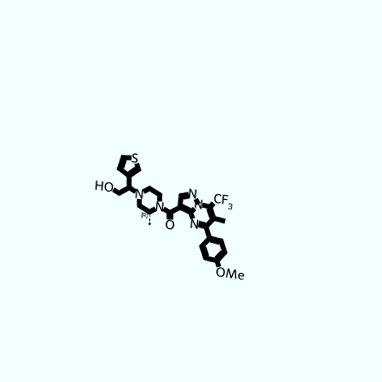 COc1ccc(-c2nc3c(C(=O)N4CCN(C(CO)c5ccsc5)C[C@H]4C)cnn3c(C(F)(F)F)c2C)cc1